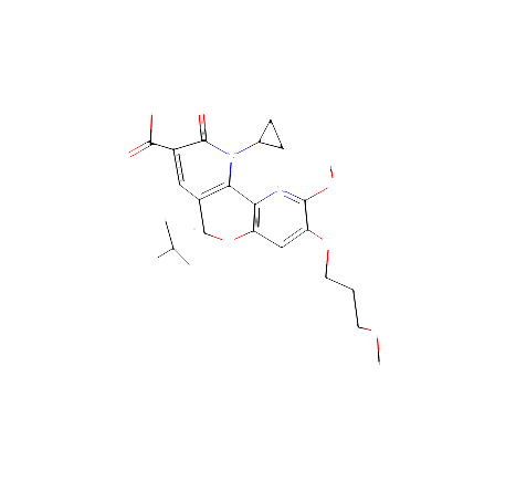 COCCCOc1cc2c(nc1OC)-c1c(cc(C(=O)O)c(=O)n1C1CC1)[C@@H](C(C)(C)C)O2